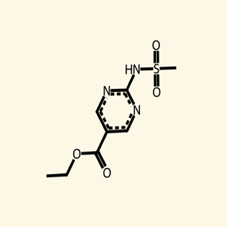 CCOC(=O)c1cnc(NS(C)(=O)=O)nc1